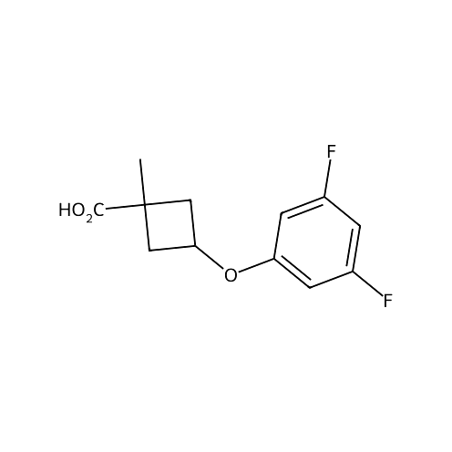 CC1(C(=O)O)CC(Oc2cc(F)cc(F)c2)C1